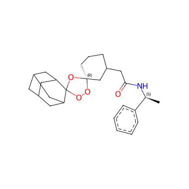 C[C@H](NC(=O)CC1CCC[C@]2(C1)OOC1(O2)C2CC3CC(C2)CC1C3)c1ccccc1